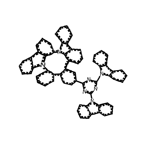 c1ccc2c(c1)c1ccccc1n2-c1nc(-c2ccc3c(c2)c2cccc4c5ccccc5n(c5cccc6c7ccccc7n(c7ccccc37)c65)c24)nc(-n2c3ccccc3c3ccccc32)n1